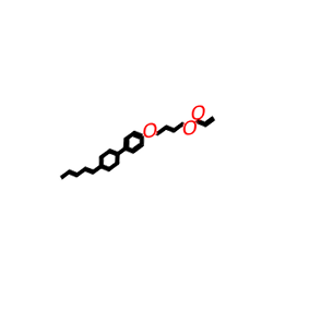 C=CC(=O)OCCCCOc1ccc(C2CCC(CCCCC)CC2)cc1